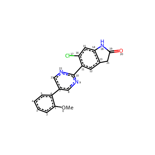 COc1ccccc1-c1cnc(-c2cc3c(cc2Cl)NC(=O)C3)nc1